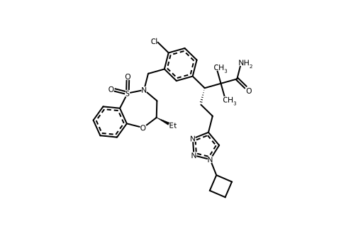 CC[C@@H]1CN(Cc2cc([C@@H](CCc3cn(C4CCC4)nn3)C(C)(C)C(N)=O)ccc2Cl)S(=O)(=O)c2ccccc2O1